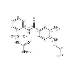 CCCCCC(=O)NS(=O)(=O)c1ccccc1NC(=O)c1ccc(NCCC(C)C)c(N)c1